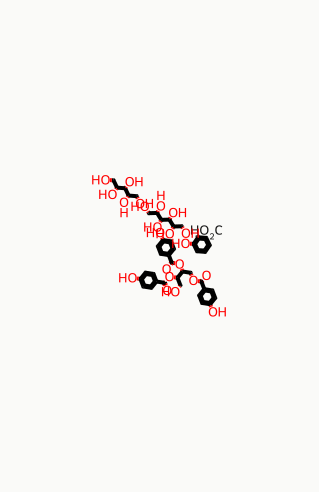 O=C(O)c1ccccc1O.O=C(OCC(OC(=O)c1ccc(O)cc1)C(CO)OC(=O)c1ccc(O)cc1)c1ccc(O)cc1.OCC(O)C(O)C(O)C(O)CO.OCC(O)C(O)C(O)CO